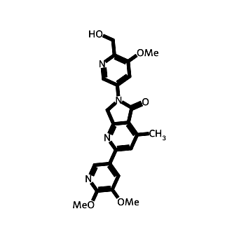 COc1cc(N2Cc3nc(-c4cnc(OC)c(OC)c4)cc(C)c3C2=O)cnc1CO